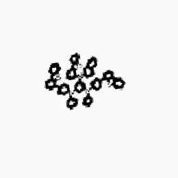 c1ccc(N(c2ccc(-c3cccc4c3sc3ccccc34)cc2)c2cc(N(c3ccccc3)c3ccc(-c4cccc5c4sc4ccccc45)cc3)cc(N(c3ccc4ccccc4c3)c3cccc4c3oc3ccccc34)c2)cc1